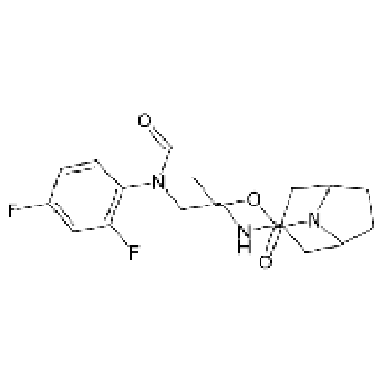 CCOC(=O)N1C2CCC1CC(NCCN(C=O)c1ccc(F)cc1F)C2